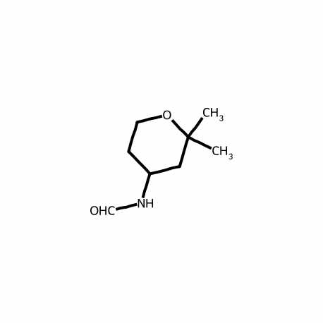 CC1(C)CC(NC=O)CCO1